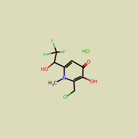 Cl.Cn1c(C(O)C(F)(F)F)cc(=O)c(O)c1CCl